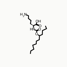 CCCCCCCC(CCCC)OC(=O)N[C@@H](CCCCN)C(=O)O